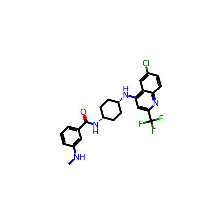 CNc1cccc(C(=O)N[C@H]2CC[C@@H](Nc3cc(C(F)(F)F)nc4ccc(Cl)cc34)CC2)c1